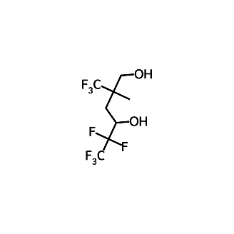 CC(CO)(CC(O)C(F)(F)C(F)(F)F)C(F)(F)F